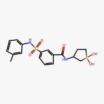 Cc1cccc(NS(=O)(=O)c2cccc(C(=O)NC3CCS(O)(O)C3)c2)c1